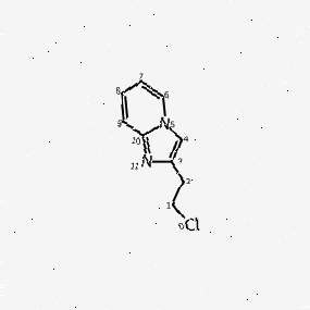 ClCCc1cn2ccccc2n1